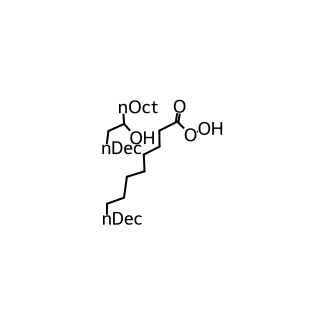 CCCCCCCCCCCC(O)CCCCCCCC.CCCCCCCCCCCCCCCCCC(=O)OO